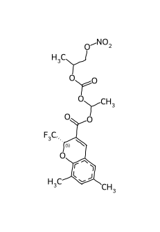 Cc1cc(C)c2c(c1)C=C(C(=O)OC(C)OC(=O)OC(C)CO[N+](=O)[O-])[C@@H](C(F)(F)F)O2